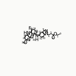 CCOC(=O)CCn1ncc2cc(Nc3ncc(F)c(Nc4ccc(OC)nc4OC)n3)ccc21